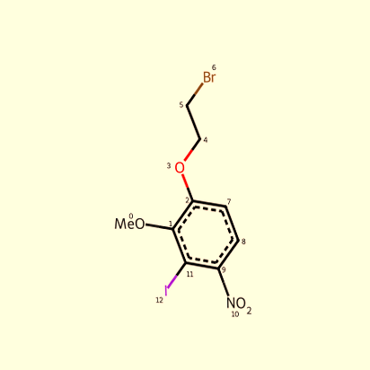 COc1c(OCCBr)ccc([N+](=O)[O-])c1I